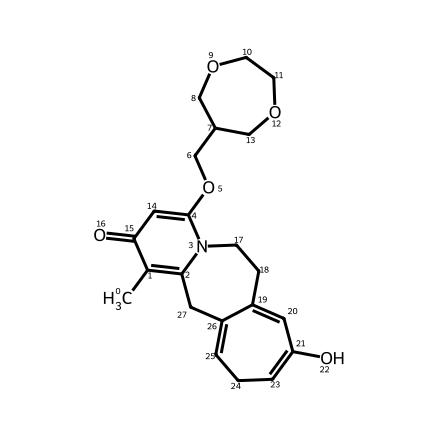 Cc1c2n(c(OCC3COCCOC3)cc1=O)CCC1=CC(O)=CCC=C1C2